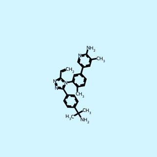 C=Cc1nnc(-c2ccc(C(C)(C)N)cc2)n1-c1cc(-c2cnc(N)c(C)c2)ccc1C